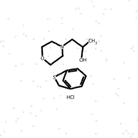 CC(O)CN1CCOCC1.Cl.c1cc2cc(c1)SC2